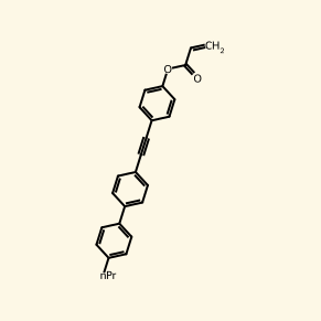 C=CC(=O)Oc1ccc(C#Cc2ccc(-c3ccc(CCC)cc3)cc2)cc1